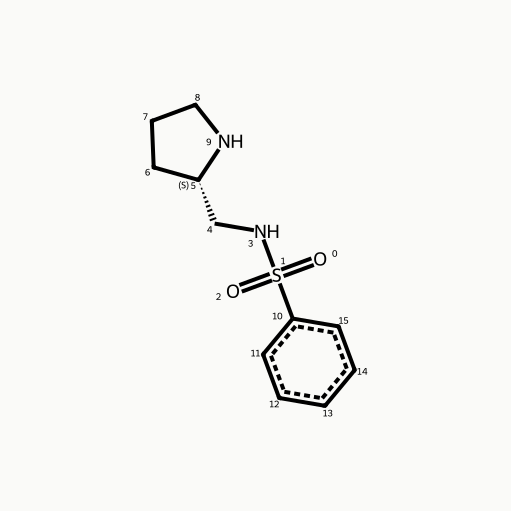 O=S(=O)(NC[C@@H]1CCCN1)c1ccccc1